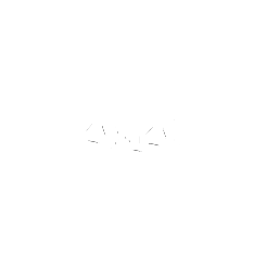 COc1cc(/C=C\NS(=O)(=O)c2ccccc2)cc(OC)c1OC